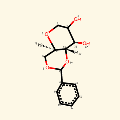 O[C]1CO[C@@H]2COC(c3ccccc3)O[C@H]2[C@@H]1O